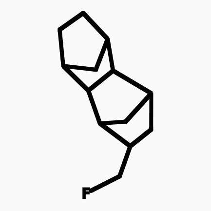 FCC1CC2CC1C1C3CCC(C3)C21